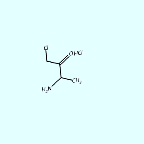 CC(N)C(=O)CCl.Cl